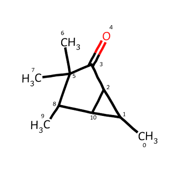 CC1C2C(=O)C(C)(C)C(C)C12